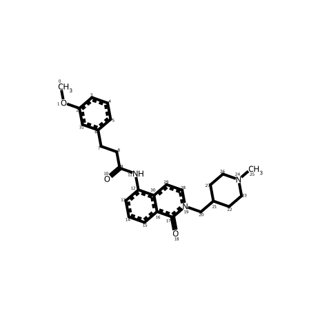 COc1cccc(CCC(=O)Nc2cccc3c(=O)n(CC4CCN(C)CC4)ccc23)c1